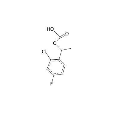 CC(OC(=O)O)c1ccc(F)cc1Cl